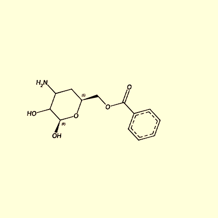 NC1C[C@@H](COC(=O)c2ccccc2)O[C@@H](O)C1O